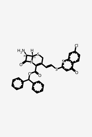 N[C@@H]1C(=O)N2C(C(=O)OC(c3ccccc3)c3ccccc3)=C(C=CSc3cc(=O)c4ccc(Cl)cc4s3)CS[C@@H]12